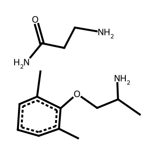 Cc1cccc(C)c1OCC(C)N.NCCC(N)=O